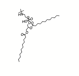 CCCCCCCCCCCC(=O)OCC(COP(=O)(O)OCCNC(C)(C)C)OC(=O)CCCCCCCCCCC